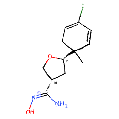 CC1([C@H]2C[C@H](/C(N)=N/O)CO2)C=CC(Cl)=CC1